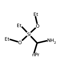 CCCC(N)[Si](CC)(OCC)OCC